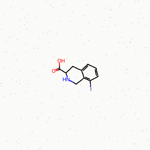 O=C(O)C1Cc2cccc(I)c2CN1